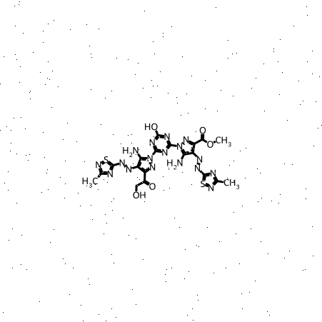 COC(=O)c1nn(-c2nc(O)nc(-n3nc(C(=O)CO)c(N=Nc4nc(C)ns4)c3N)n2)c(N)c1N=Nc1nc(C)ns1